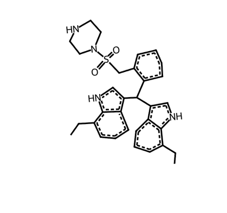 CCc1cccc2c(C(c3ccccc3CS(=O)(=O)N3CCNCC3)c3c[nH]c4c(CC)cccc34)c[nH]c12